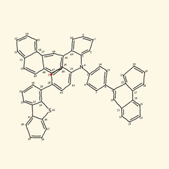 c1ccc(N(c2ccc(-c3cc4ccccc4c4ccccc34)cc2)c2ccc(-c3cccc4c3sc3ccccc34)cc2)c(-c2ccc3ccc4ccccc4c3c2)c1